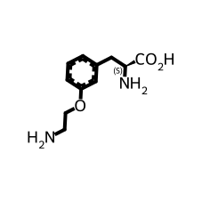 NCCOc1cccc(C[C@H](N)C(=O)O)c1